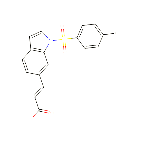 Cc1ccc(S(=O)(=O)n2ccc3ccc(/C=C/C(=O)O)cc32)cc1